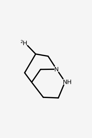 [2H]C1CC2CCNN(C1)C2